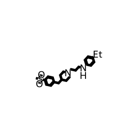 CCc1ccc(NCCCN2CCC(Cc3ccc(S(C)(=O)=O)cc3)CC2)cc1